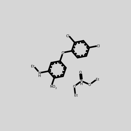 CCNc1cc(Oc2ccc(Cl)cc2Cl)ccc1[N+](=O)[O-].CCO[PH](=O)OCC